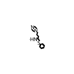 CN1CCN(CCC[C@@H]([NH])CSc2ccccc2)CC1